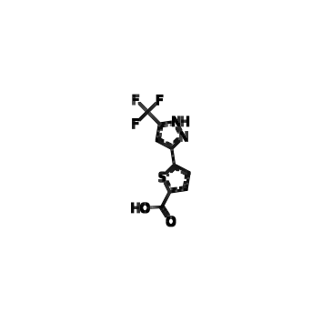 O=C(O)c1ccc(-c2cc(C(F)(F)F)[nH]n2)s1